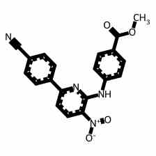 COC(=O)c1ccc(Nc2nc(-c3ccc(C#N)cc3)ccc2[N+](=O)[O-])cc1